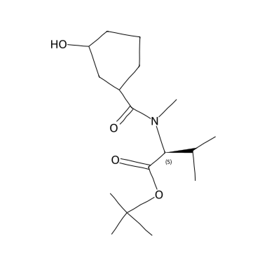 CC(C)[C@@H](C(=O)OC(C)(C)C)N(C)C(=O)C1CCCC(O)C1